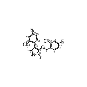 Cc1nn(C)c(OCc2ccc(F)cc2Cl)c1-c1ccc(F)cc1Cl